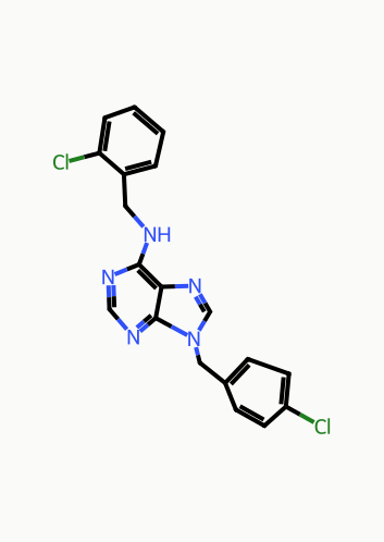 Clc1ccc(Cn2cnc3c(NCc4ccccc4Cl)ncnc32)cc1